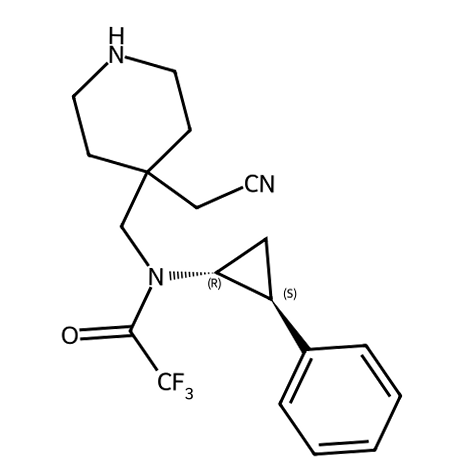 N#CCC1(CN(C(=O)C(F)(F)F)[C@@H]2C[C@H]2c2ccccc2)CCNCC1